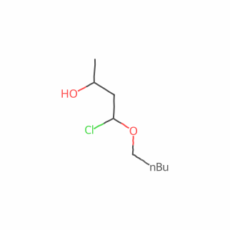 CCCCCOC(Cl)CC(C)O